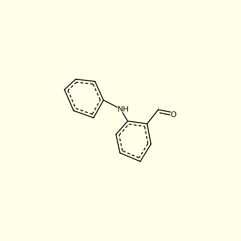 O=[C]c1ccccc1Nc1ccccc1